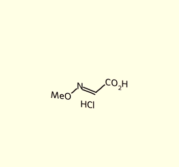 CON=CC(=O)O.Cl